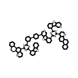 c1cc(-c2ccc(-c3cncc4c3oc3cccc(-c5nc(-c6ccnc7c6ccc6c8ccccc8ccc67)nc(-c6cccc7oc8ccncc8c67)n5)c34)cc2)cc(-c2nc(-c3cc4c(c5ncccc35)CCc3ccccc3-4)nc(-c3cccc4oc5ccccc5c34)n2)c1